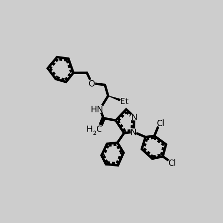 C=C(N[C@H](CC)COCc1ccccc1)c1cnn(-c2ccc(Cl)cc2Cl)c1-c1ccccc1